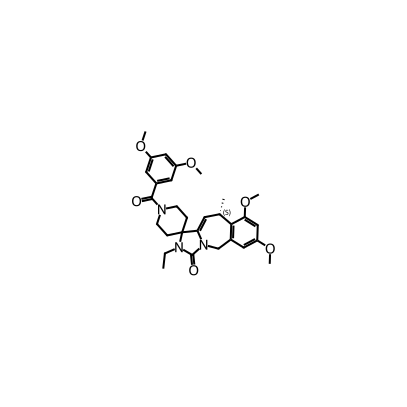 CCN1C(=O)N2Cc3cc(OC)cc(OC)c3[C@@H](C)C=C2C12CCN(C(=O)c1cc(OC)cc(OC)c1)CC2